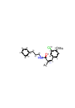 COc1ccc(/C=C(/C(C)=O)C(=O)NCCCc2ccccc2)cc1Cl